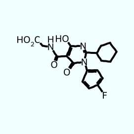 O=C(O)CNC(=O)c1c(O)nc(C2CCCCC2)n(-c2ccc(F)cc2)c1=O